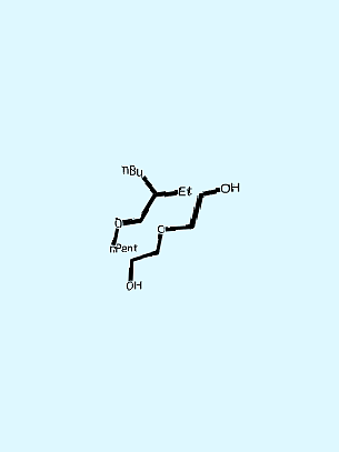 CCCCCOCC(CC)CCCC.OCCOCCO